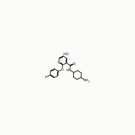 Cl.NC1CCC(NC(=O)c2cccnc2Oc2ccc(F)cc2)CC1